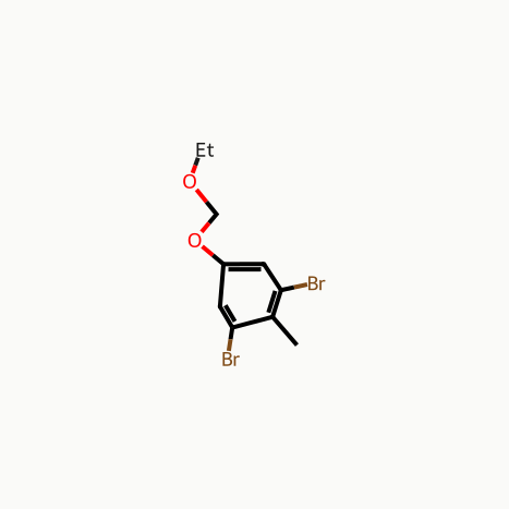 CCOCOc1cc(Br)c(C)c(Br)c1